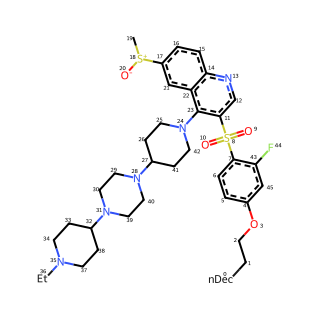 CCCCCCCCCCCCOc1ccc(S(=O)(=O)c2cnc3ccc([S+](C)[O-])cc3c2N2CCC(N3CCN(C4CCN(CC)CC4)CC3)CC2)c(F)c1